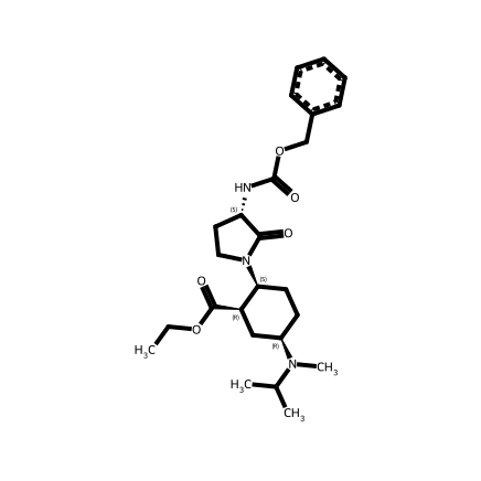 CCOC(=O)[C@@H]1C[C@H](N(C)C(C)C)CC[C@@H]1N1CC[C@H](NC(=O)OCc2ccccc2)C1=O